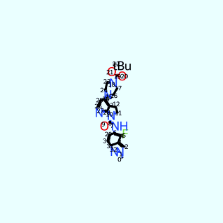 Cn1cc2c(F)c(NC(=O)N3CCc4c(N5CCN(C(=O)OC(C)(C)C)CC5)ccnc43)ccc2n1